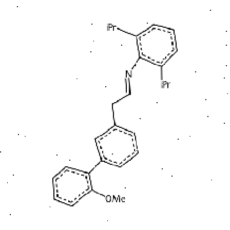 COc1ccccc1-c1cccc(CC=Nc2c(C(C)C)cccc2C(C)C)c1